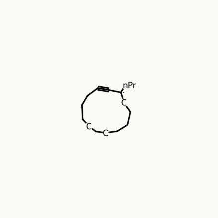 CCC[C]1C#CCCCCCCCCCC1